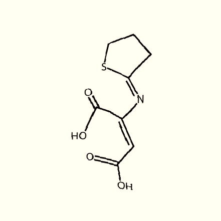 O=C(O)C=C(N=C1CCCS1)C(=O)O